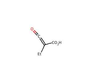 CCC(=C=O)C(=O)O